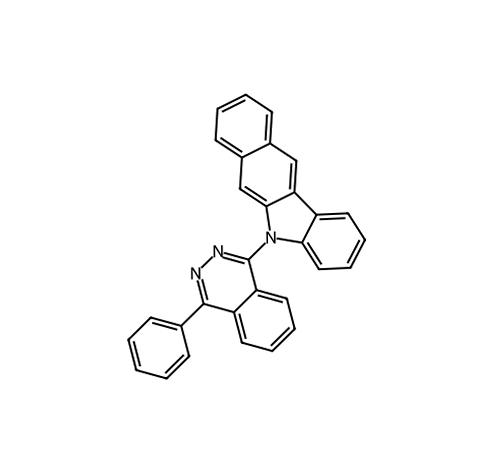 c1ccc(-c2nnc(-n3c4ccccc4c4cc5ccccc5cc43)c3ccccc23)cc1